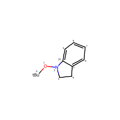 CC(C)(C)ON1CCc2ccccc21